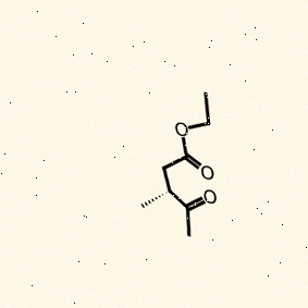 CCOC(=O)C[C@@H](C)C(C)=O